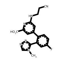 Cn1cnnc1-c1cc(F)ccc1-c1cc(NCCC#N)nc(C(=O)O)c1